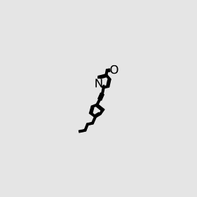 CCCCc1ccc(C#Cc2ccc(C=O)cn2)cc1